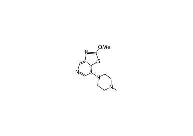 COc1nc2cncc(N3CCN(C)CC3)c2s1